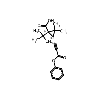 CC(C)(C)[C@]1(C(=O)O)[C@@H](C#CC(=O)Oc2ccccc2)C1(C)C